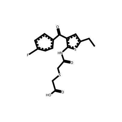 CCc1cc(C(=O)c2ccc(F)cc2)c(NC(=O)CSCC(=O)O)s1